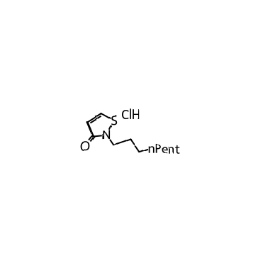 CCCCCCCCn1sccc1=O.Cl